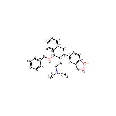 CN(C)CCC1C(c2ccc3c(c2)COO3)Cc2ccccc2C1OCc1ccccc1